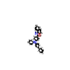 C1=CCC(N(C2=CCC(c3ccccc3)C=C2)c2ccc(-c3nc4c(ccc5ccccc54)o3)cc2)C=C1